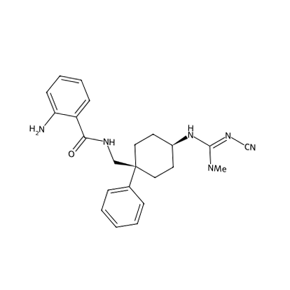 CN/C(=N\C#N)N[C@H]1CC[C@](CNC(=O)c2ccccc2N)(c2ccccc2)CC1